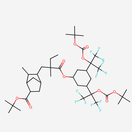 CCC(C)(CC1C2CC(C(=O)OC(C)(C)C)C(C2)C1C)C(=O)OC1CC(C(OC(=O)OC(C)(C)C)(C(F)(F)F)C(F)(F)F)CC(C(OC(=O)OC(C)(C)C)(C(F)(F)F)C(F)(F)F)C1